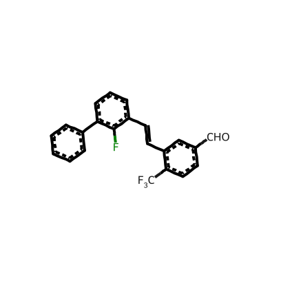 O=Cc1ccc(C(F)(F)F)c(/C=C/c2cccc(-c3ccccc3)c2F)c1